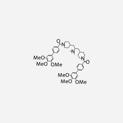 COc1cc(-c2ccc(C(=O)N3CCC(CC(CC4CCN(C(=O)c5ccc(-c6cc(OC)c(OC)c(OC)c6)cc5)CC4)N(C)C)CC3)cc2)cc(OC)c1OC